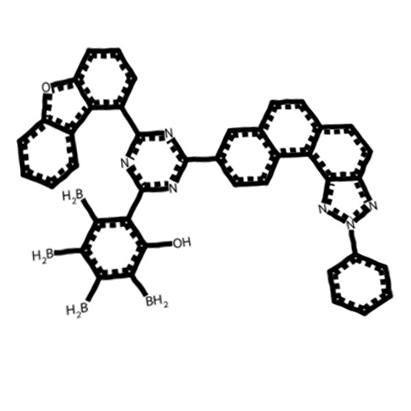 Bc1c(B)c(B)c(-c2nc(-c3ccc4c(ccc5ccc6nn(-c7ccccc7)nc6c54)c3)nc(-c3cccc4oc5ccccc5c34)n2)c(O)c1B